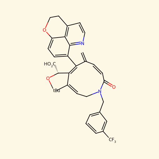 C=C1/C=C\C(=O)N(Cc2cccc(C(F)(F)F)c2)C/C=C(C)\C([C@H](OC(C)(C)C)C(=O)O)=C/1c1ccc2c3c(ccnc13)CCO2